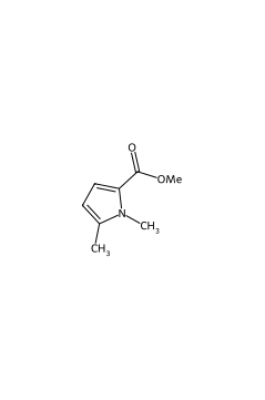 COC(=O)c1ccc(C)n1C